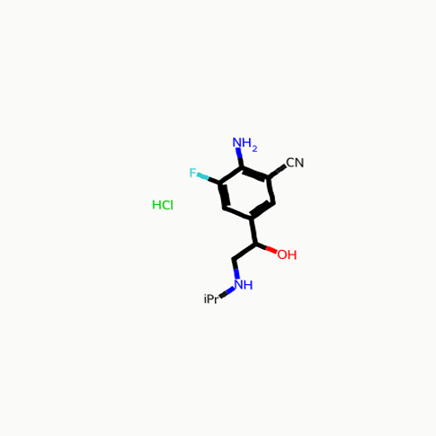 CC(C)NCC(O)c1cc(F)c(N)c(C#N)c1.Cl